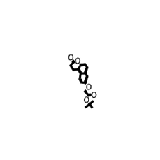 CC(C)(C)OC(=O)COc1ccc2c3c(ccc2c1)OC(=O)CC3